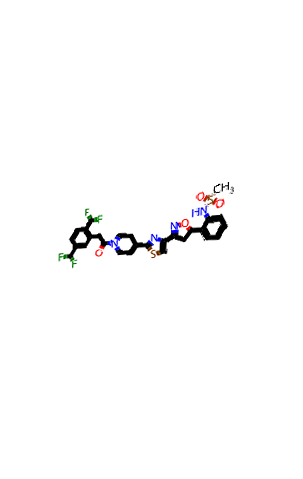 CS(=O)(=O)Nc1ccccc1C1CC(c2csc(C3CCN(C(=O)Cc4cc(C(F)F)ccc4C(F)F)CC3)n2)=NO1